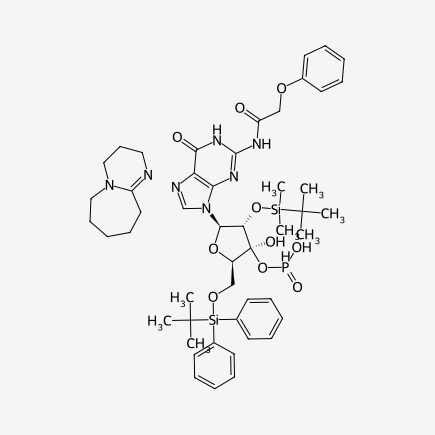 C1CCC2=NCCCN2CC1.CC(C)(C)[Si](C)(C)O[C@H]1[C@H](n2cnc3c(=O)[nH]c(NC(=O)COc4ccccc4)nc32)O[C@H](CO[Si](c2ccccc2)(c2ccccc2)C(C)(C)C)[C@]1(O)O[PH](=O)O